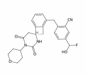 N#Cc1cc(C(O)F)ccc1Cc1cccc2c1C[C@]21CC(=O)N(C2CCOCC2)C(=O)N1